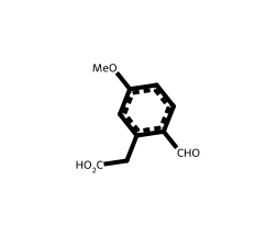 COc1ccc(C=O)c(CC(=O)O)c1